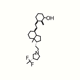 C=C1/C(=C\C=C2/CCCC3(C)C2CC[C@@H]3CCN2CC[C@H](C(C)(F)F)C2)CCCC1O